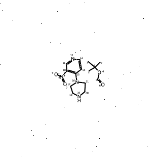 CC(C)(C)OC=O.O=[N+]([O-])c1cnccc1N1CCNCC1